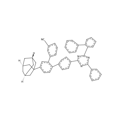 N#Cc1cccc(-c2cc(C34C[C@H]5C[C@H](C3)C[C@@H](C4)C5)ccc2-c2ccc(-c3nc(-c4ccccc4)nc(-c4ccccc4-c4ccccc4)n3)cc2)c1